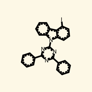 Ic1cccc2c1c1ccccc1n2-c1nc(-c2ccccc2)nc(-c2ccccc2)n1